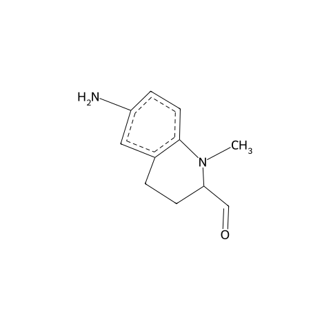 CN1c2ccc(N)cc2CCC1C=O